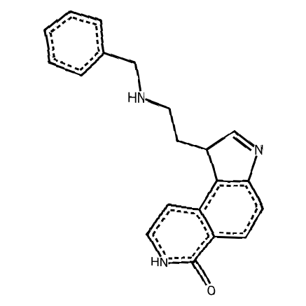 O=c1[nH]ccc2c3c(ccc12)N=CC3CCNCc1ccccc1